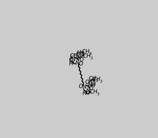 CN[C@@H](C)C(=O)N[C@H]1CN(C(=O)CCCCCCCCCCC(=O)N2CC[C@H]3CC[C@@H](C)N3C(=O)[C@@H](NC(=O)[C@H](C)NC)C2)CC[C@H]2CC[C@@H](C)N2C1=O